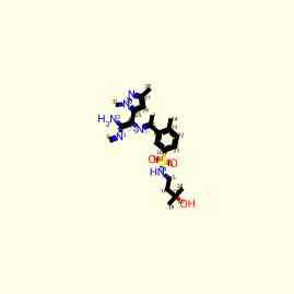 C=N/C(N)=C(\N=C(/C)c1cc(S(=O)(=O)NCCC(C)(C)O)ccc1C)c1cc(C)nn1C